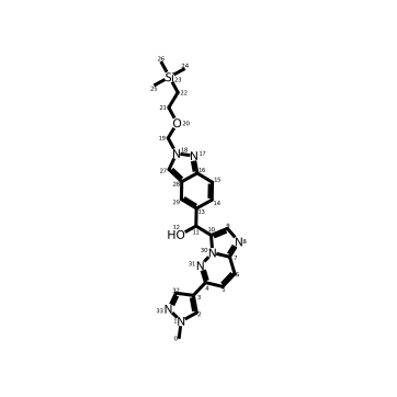 Cn1cc(-c2ccc3ncc(C(O)c4ccc5nn(COCC[Si](C)(C)C)cc5c4)n3n2)cn1